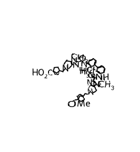 COCC12CCC(CCN3CCc4c(nc(C(=O)Nc5cccc(-c6cccc(NC(=O)c7nc8c(n7C)CCN(CC79CCC(C(=O)O)(CC7)C9)C8)c6Cl)c5C)n4C)C3)(CC1)C2